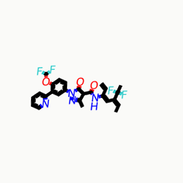 C=C/C(=C\C(=C/C)C(C)(F)F)NC(=O)C1C(=O)N(c2ccc(OC(F)F)c(-c3ccccn3)c2)N=C1C